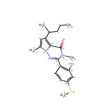 CCCC(C)c1cc(C)n2nc(-c3ccc(SC)cc3Cl)n(C)c(=O)c12